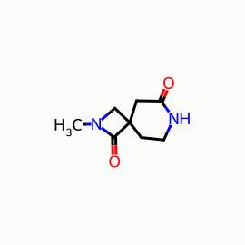 CN1CC2(CCNC(=O)C2)C1=O